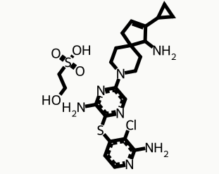 Nc1nc(N2CCC3(CC=C(C4CC4)C3N)CC2)cnc1Sc1ccnc(N)c1Cl.O=S(=O)(O)CCO